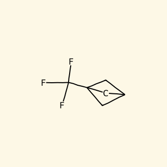 FC(F)(F)C12CC(C1)C2